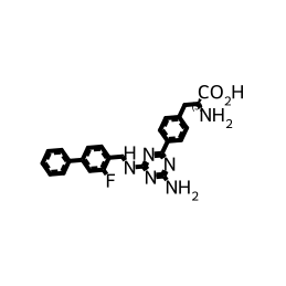 Nc1nc(NCc2ccc(-c3ccccc3)cc2F)nc(-c2ccc(C[C@H](N)C(=O)O)cc2)n1